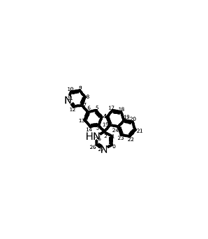 C1=CC(c2ccc(-c3cccnc3)cc2)(c2cccc3ccccc23)NC=N1